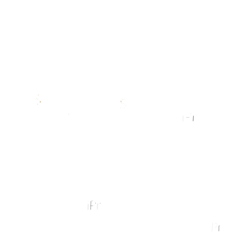 Cc1csc2cc(-c3c(C(C)C)cc(C(C)C)cc3C(C)C)sc12